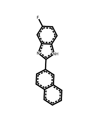 Fc1ccc2[nH]c(-c3ccc4ccccc4c3)nc2c1